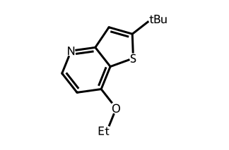 CCOc1ccnc2cc(C(C)(C)C)sc12